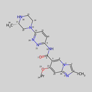 Cc1cn2cc(C(=O)Nc3ccc(N4CCN[C@@H](C)C4)nn3)c(OC(C)C)cc2n1